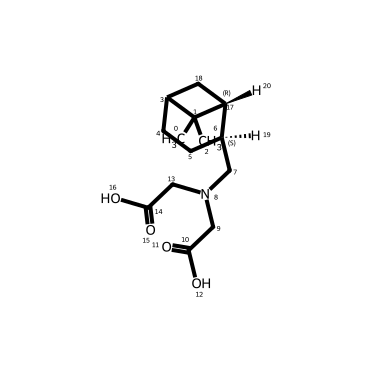 CC1(C)C2CC[C@H](CN(CC(=O)O)CC(=O)O)[C@H]1C2